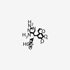 COc1cc([C@@H](c2cnc(N)nc2N)C2CC2)c2c(c1OC)OCC=C2.CS(=O)(=O)O